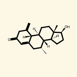 C=C1CC(=O)C=C2C[C@@H](C)[C@@H]3[C@H](CC[C@]4(C)[C@@H](O)CC[C@@H]34)[C@@H]12